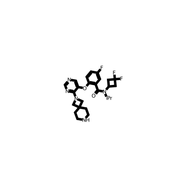 CC(C)N(C(=O)c1cc(F)ccc1Oc1cncnc1N1CC2(CCNCC2)C1)C1CC(F)(F)C1